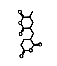 CC1CC(CC2CCC(=O)OC2=O)C(=O)OC1=O